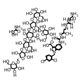 CC(/C=N/NC(=N)N)=N\NC(=N)N.NC(=O)NO.NC(N)=O.O=C(O)c1nn(Cc2ccc(Cl)cc2Cl)c2ccccc12.OC[C@H]1O[C@@H](OC[C@H]2O[C@@H](O)[C@H](O)[C@@H](O[C@@H]3O[C@H](CO)[C@@H](O)[C@H](O[C@@H]4O[C@H](CO)[C@@H](O)[C@H](O[C@@H]5O[C@H](CO[C@@H]6O[C@H](CO)[C@@H](O)[C@H](O)[C@H]6O)[C@@H](O)[C@H](O[C@@H]6O[C@H](CO)[C@@H](O)[C@H](O)[C@H]6O)[C@H]5O)[C@H]4O)[C@H]3O)[C@@H]2O)[C@H](O)[C@@H](O)[C@@H]1O